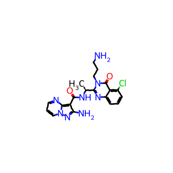 C[C@H](NC(=O)c1c(N)nn2cccnc12)c1nc2cccc(Cl)c2c(=O)n1CCCN